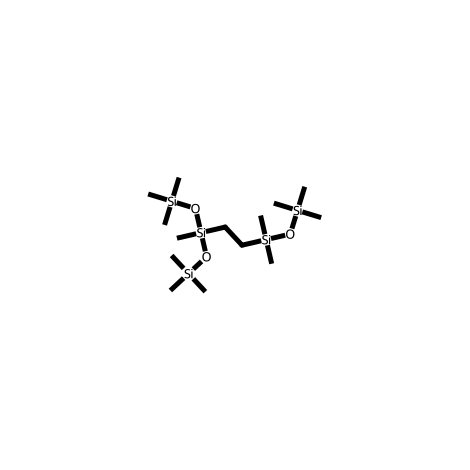 C[Si](C)(C)O[Si](C)(C)CC[Si](C)(O[Si](C)(C)C)O[Si](C)(C)C